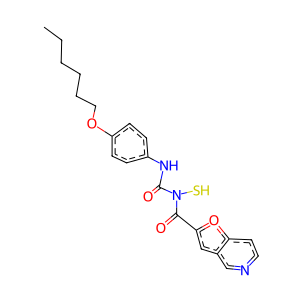 CCCCCCOc1ccc(NC(=O)N(S)C(=O)c2cc3cnccc3o2)cc1